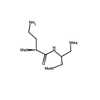 CNCC(CNC)NC(=O)[C@H](CCN)NC